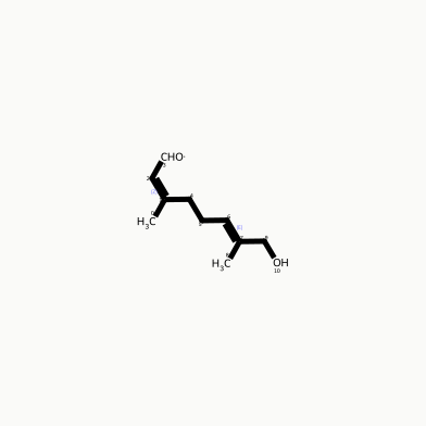 C/C(=C/[C]=O)CC/C=C(\C)CO